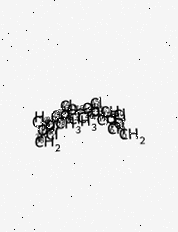 C=CCOc1c(Cl)cc(C(C)(C)c2cc(Cl)c(OCCCOc3c(Cl)cc(C(C)(C)c4cc(Cl)c(OCC=C)c(Cl)c4)cc3Cl)c(Cl)c2)cc1Cl